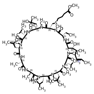 C/C=C/C[C@@H](C)[C@@H](O)[C@H]1C(=O)N[C@@H](CC)C(=O)N(C)[C@@H](CSCCCC(=O)OC)C(=O)N(C)[C@@H](CC(C)(C)O)C(=O)N[C@@H](C(C)C)C(=O)N(C)[C@@H](CC(C)C)C(=O)N[C@@H](C)C(=O)N[C@H](C)C(=O)N(C)[C@@H](CC(C)C)C(=O)N(C)[C@@H](CC(C)C)C(=O)N(C)[C@@H](C(C)C)C(=O)N1C